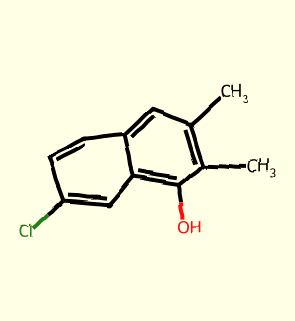 Cc1cc2ccc(Cl)cc2c(O)c1C